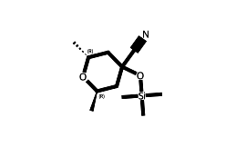 C[C@@H]1CC(C#N)(O[Si](C)(C)C)C[C@@H](C)O1